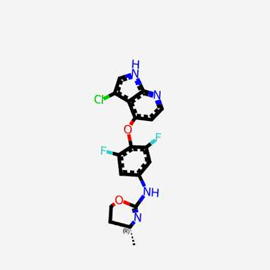 C[C@@H]1CCOC(Nc2cc(F)c(Oc3ccnc4[nH]cc(Cl)c34)c(F)c2)=N1